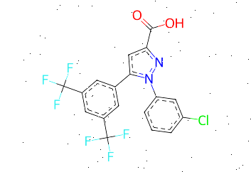 O=C(O)c1cc(-c2cc(C(F)(F)F)cc(C(F)(F)F)c2)n(-c2cccc(Cl)c2)n1